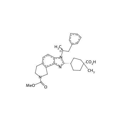 COC(=O)N1CCc2ccc3c(nc([C@H]4CC[C@@](C)(C(=O)O)CC4)n3[C@@H](C)Cc3ccccc3)c2C1